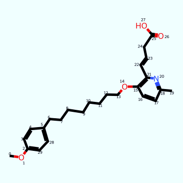 COc1ccc(CCCCCCCCOc2ccc(C)nc2/C=C/CC(=O)O)cc1